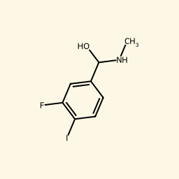 CNC(O)c1ccc(I)c(F)c1